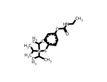 CCNC(=O)Oc1ccc(S[Si](C(C)C)(C(C)C)C(C)C)cc1